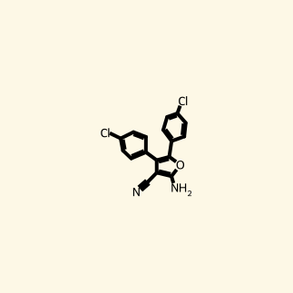 N#Cc1c(N)oc(-c2ccc(Cl)cc2)c1-c1ccc(Cl)cc1